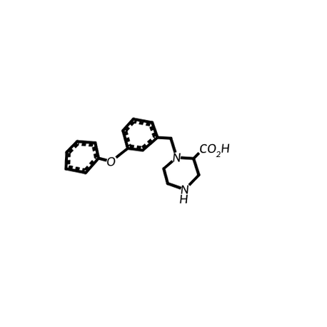 O=C(O)C1CNCCN1Cc1cccc(Oc2ccccc2)c1